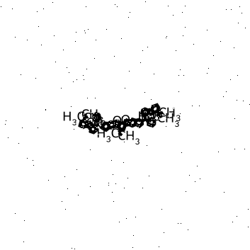 CC(C)c1cc2c3cc4ccc(N(c5ccccc5)c5cccc6c5oc5c(C(C)(C)C)cccc56)cc4cc3oc2c2oc3cc4cc(N(c5ccccc5)c5cccc6c5oc5c(C(C)(C)C)cccc56)ccc4cc3c12